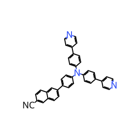 N#Cc1ccc2cc(-c3ccc(N(c4ccc(-c5ccncc5)cc4)c4ccc(-c5ccncc5)cc4)cc3)ccc2c1